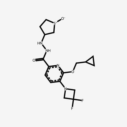 O=C(NNC1CC[S+]([O-])C1)c1ccc(N2CC(F)(F)C2)c(OCC2CC2)n1